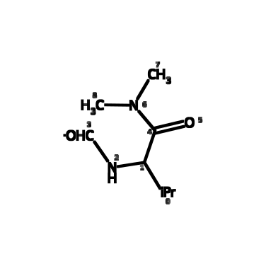 CC(C)C(N[C]=O)C(=O)N(C)C